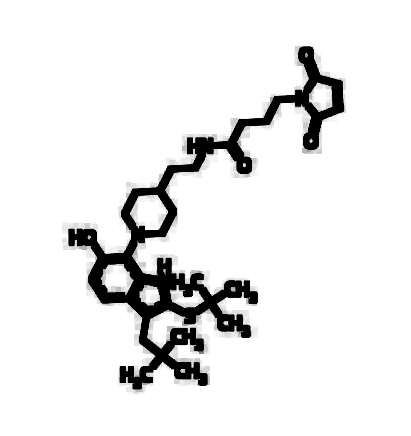 CC(C)(C)Cc1c(SC(C)(C)C)[nH]c2c(N3CCC(CCNC(=O)CCCN4C(=O)C=CC4=O)CC3)c(O)ccc12